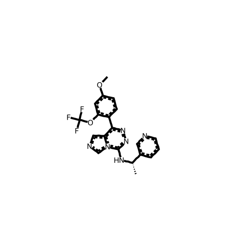 COc1ccc(-c2nnc(N[C@@H](C)c3cccnc3)n3cncc23)c(OC(F)(F)F)c1